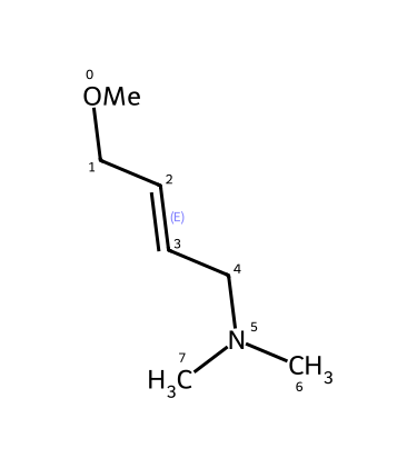 COC/C=C/CN(C)C